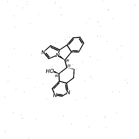 O[C@@H]1c2cncnc2CC[C@H]1[C@@H]1c2ccccc2-c2cncn21